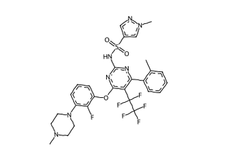 Cc1ccccc1-c1nc(NS(=O)(=O)c2cnn(C)c2)nc(Oc2cccc(N3CCN(C)CC3)c2F)c1C(F)(F)C(F)(F)F